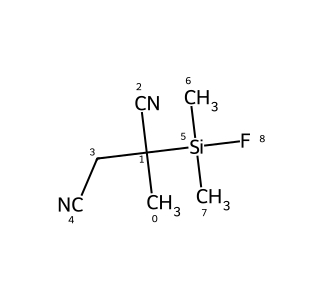 CC(C#N)(CC#N)[Si](C)(C)F